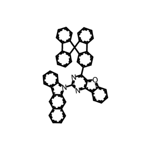 c1ccc2c(c1)-c1ccccc1C21c2ccccc2-c2ccc(-c3nc(-n4c5ccccc5c5cc6ccccc6cc54)nc4c3oc3ccccc34)cc21